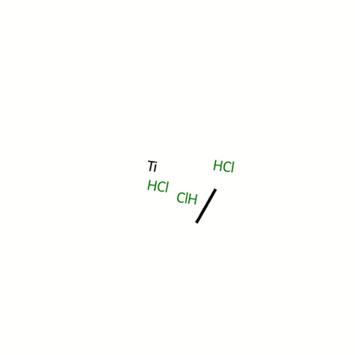 CC.Cl.Cl.Cl.[Ti]